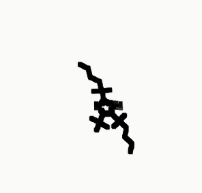 CCCCC(C)(C)c1nc(C(C)(C)C)c(C(C)(C)CCCC)[nH]1